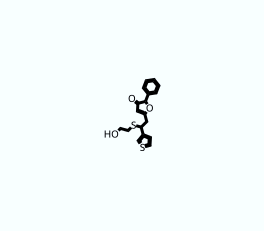 O=C1C=C(CC(SCCO)c2ccsc2)OC1c1ccccc1